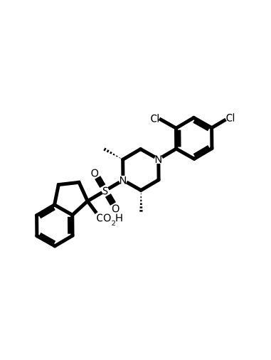 C[C@@H]1CN(c2ccc(Cl)cc2Cl)C[C@H](C)N1S(=O)(=O)C1(C(=O)O)CCc2ccccc21